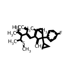 C=C/C(=C\C(C(=C)C(c1ccc(F)cc1)(C1CC1)C1CC1)=C(C)C)C(=C(C)C)C(C)SC